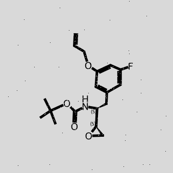 C=CCOc1cc(F)cc(C[C@H](NC(=O)OC(C)(C)C)[C@H]2CO2)c1